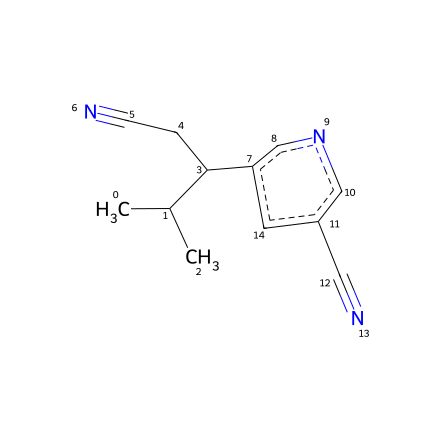 CC(C)C(CC#N)c1cncc(C#N)c1